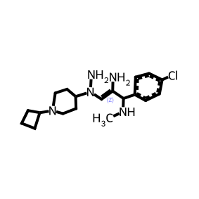 CNC(/C(N)=C/N(N)C1CCN(C2CCC2)CC1)c1ccc(Cl)cc1